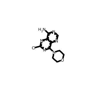 Nc1ncnc2c(N3CCOCC3)nc(Cl)nc12